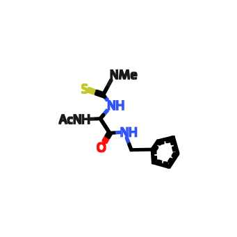 CNC(=S)NC(NC(C)=O)C(=O)NCc1ccccc1